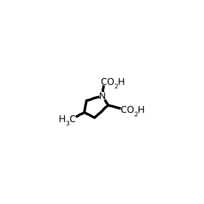 CC1CC(C(=O)O)N(C(=O)O)C1